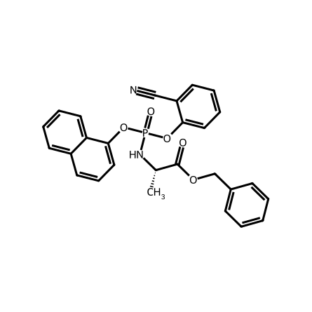 C[C@H](NP(=O)(Oc1ccccc1C#N)Oc1cccc2ccccc12)C(=O)OCc1ccccc1